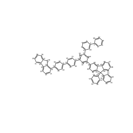 c1ccc(-c2cccc(-c3nc(-c4ccc(-c5ccc(-c6cccc7c6sc6ccccc67)cc5)cc4)nc(-c4ccc5c(c4)-c4ccccc4C5(c4ccccc4)c4ccccc4)n3)c2)cc1